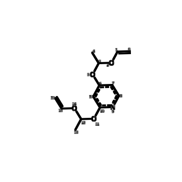 C=COC(C)Oc1ccnc(OC(C)OC=C)c1